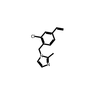 C=Cc1ccc(Cn2ccnc2C)c(Cl)c1